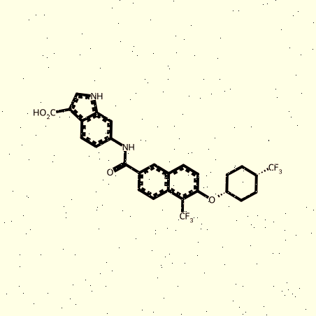 O=C(Nc1ccc2c(C(=O)O)c[nH]c2c1)c1ccc2c(C(F)(F)F)c(O[C@H]3CC[C@@H](C(F)(F)F)CC3)ccc2c1